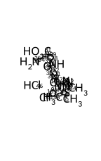 Cc1sc2c(c1C)C(c1ccc(Cl)cc1)=N[C@@H](CC(=O)N1CCC(C(=O)Nc3ccc(C(=O)O)c(CCCN)c3)CC1)c1nnc(C)n1-2.Cl